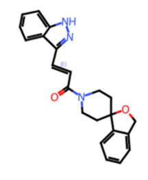 O=C(/C=C/c1n[nH]c2ccccc12)N1CCC2(CC1)OCc1ccccc12